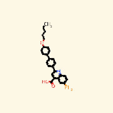 CCCCCOc1ccc(-c2ccc(-c3cc(C(=O)O)c4cc(P)ccc4n3)cc2)cc1